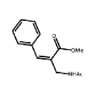 COC(=O)/C(=C\c1ccccc1)CNC(C)=O